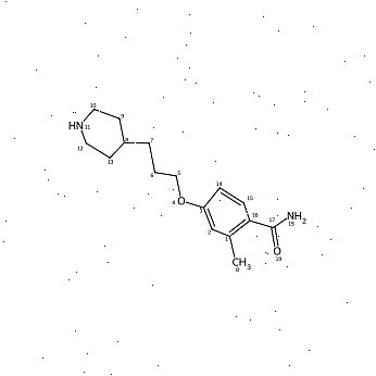 Cc1cc(OCCCC2CCNCC2)ccc1C(N)=O